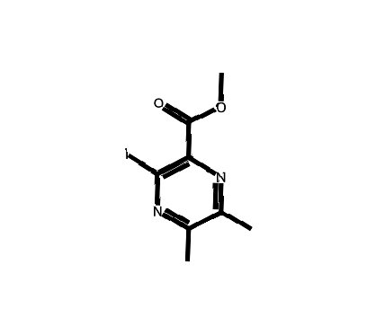 COC(=O)c1nc(C)c(C)nc1I